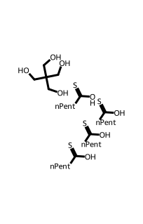 CCCCCC(O)=S.CCCCCC(O)=S.CCCCCC(O)=S.CCCCCC(O)=S.OCC(CO)(CO)CO